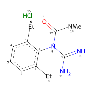 CCc1cccc(CC)c1N(C(=N)N)C(=O)NC.Cl